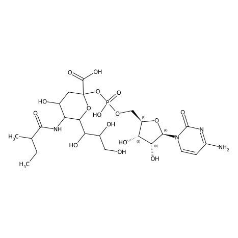 CCC(C)C(=O)NC1C(O)CC(OP(=O)(O)OC[C@H]2O[C@@H](n3ccc(N)nc3=O)[C@H](O)[C@@H]2O)(C(=O)O)OC1C(O)C(O)CO